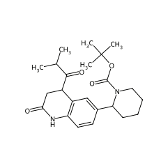 CC(C)C(=O)C1CC(=O)Nc2ccc(C3CCCCN3C(=O)OC(C)(C)C)cc21